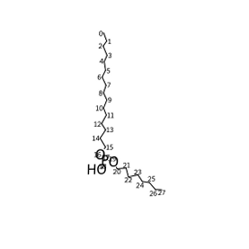 CCCCCCCCCCCCCCCCOP(O)OCCCCCCCC